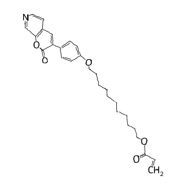 C=CC(=O)OCCCCCCCCCCCOc1ccc(-c2cc3ccncc3oc2=O)cc1